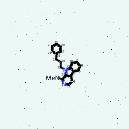 CNc1nccc2c3ccccc3n(CCCc3ccccc3)c12